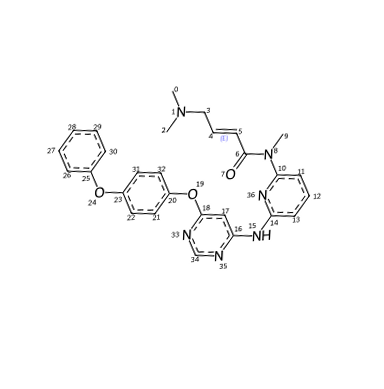 CN(C)C/C=C/C(=O)N(C)c1cccc(Nc2cc(Oc3ccc(Oc4ccccc4)cc3)ncn2)n1